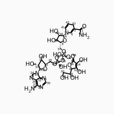 NC(=O)C1=CN([C@@H]2O[C@H](COP(=O)(O)OP(=O)(O)OC[C@H]3O[C@@H](n4cnc5c(N)ncnc54)[C@H](O)[C@@H]3O)[C@@H](O)[C@H]2O)C=CC1.O=C1O[C@H]([C@@H](O)CO)C(O)=C1O